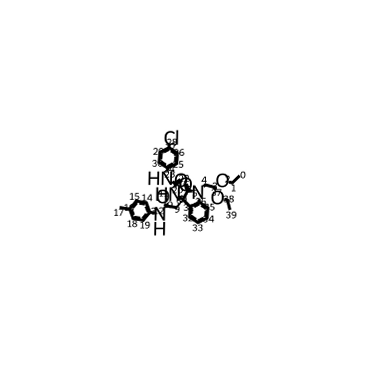 CCOC(CN1C(=O)[C@@](CC(=O)Nc2ccc(C)cc2)(NC(=O)Nc2ccc(Cl)cc2)c2ccccc21)OCC